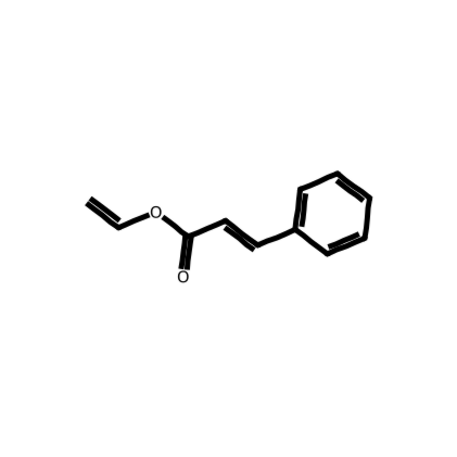 C=COC(=O)C=Cc1ccccc1